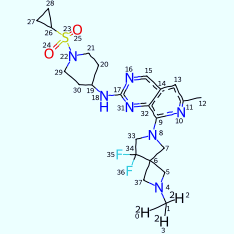 [2H]C([2H])([2H])N1CC2(CN(c3nc(C)cc4cnc(NC5CCN(S(=O)(=O)C6CC6)CC5)nc34)CC2(F)F)C1